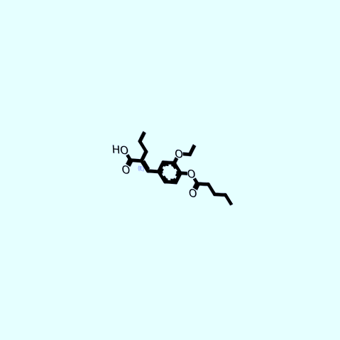 CCCCC(=O)Oc1ccc(/C=C(\CCC)C(=O)O)cc1OCC